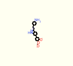 COCOc1ccc(-c2ccc3c(/C=C/c4ccc(N)cc4)n[nH]c3c2)cc1OC